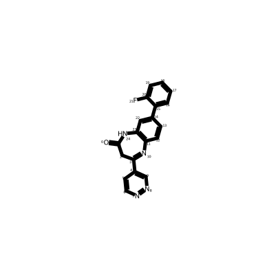 O=C1CC(c2ccnnc2)=Nc2ccc(-c3ccccc3F)cc2N1